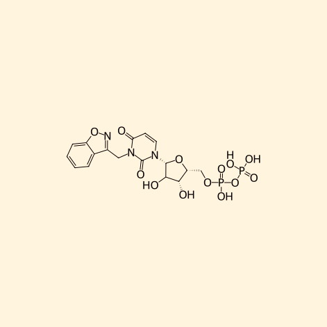 O=c1ccn([C@@H]2O[C@H](COP(=O)(O)OP(=O)(O)O)[C@H](O)C2O)c(=O)n1Cc1noc2ccccc12